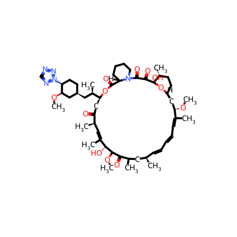 COC1C(=O)C(C)C[C@H](C)/C=C/C=C/C=C(\C)[C@@H](OC)C[C@@H]2CC[C@@H](C)[C@@](O)(O2)C(=O)C(=O)N2CCCC[C@H]2C(=O)O[C@H]([C@H](C)C[C@@H]2CC[C@H](n3ncnn3)[C@H](OC)C2)CC(=O)[C@H](C)/C=C(\C)[C@H]1O